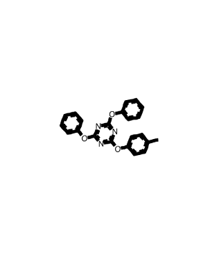 Cc1ccc(Oc2nc(Oc3ccccc3)nc(Oc3ccccc3)n2)cc1